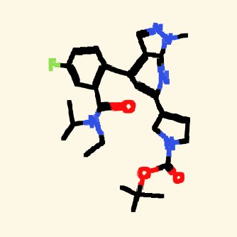 CCN(C(=O)c1cc(F)ccc1-c1cc(C2=CCN(C(=O)OC(C)(C)C)C2)nc2c1cnn2C)C(C)C